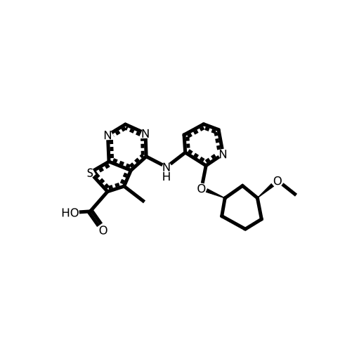 CO[C@H]1CCC[C@@H](Oc2ncccc2Nc2ncnc3sc(C(=O)O)c(C)c23)C1